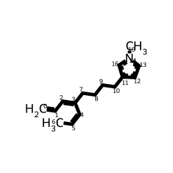 C=C/C=C(\C=C/C)CCCCc1ccn(C)c1